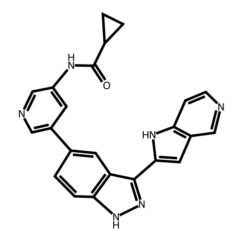 O=C(Nc1cncc(-c2ccc3[nH]nc(-c4cc5cnccc5[nH]4)c3c2)c1)C1CC1